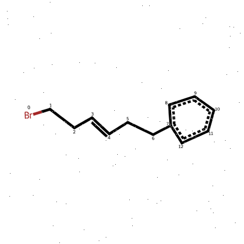 BrCCC=CCCc1ccccc1